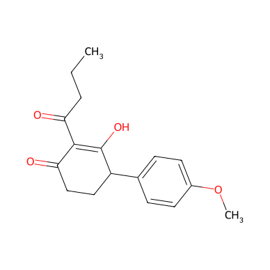 CCCC(=O)C1=C(O)C(c2ccc(OC)cc2)CCC1=O